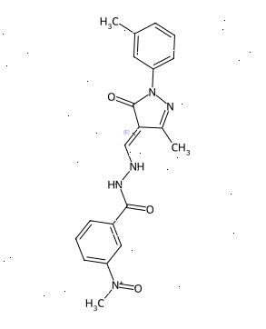 CC1=NN(c2cccc(C)c2)C(=O)/C1=C/NNC(=O)c1cccc([N+](C)=O)c1